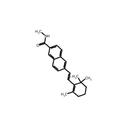 CNC(=O)c1ccc2cc(/C=C/C3=C(C)CCCC3(C)C)ccc2c1